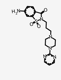 Nc1ccc2c(c1)S(=O)(=O)N(CCCN1CCN(c3ncccn3)CC1)C2=O